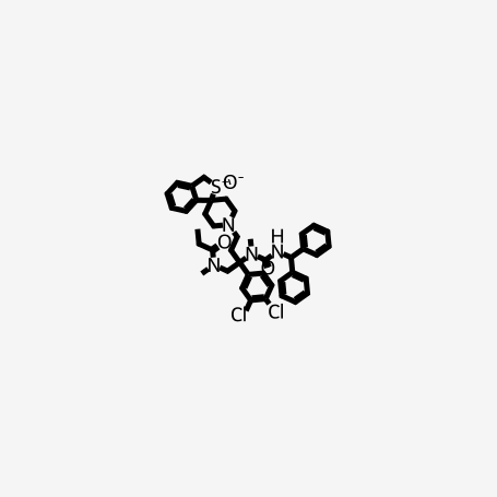 CCC(=O)N(C)CC(CCN1CCC2(CC1)c1ccccc1C[S+]2[O-])(c1ccc(Cl)c(Cl)c1)N(C)C(=O)NC(c1ccccc1)c1ccccc1